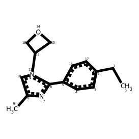 CCc1ccc(-c2nc(C)cn2C2COC2)cc1